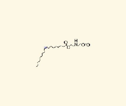 CCCCCCCC/C=C\CCCCCCCC(=O)OCCNCCOC=O